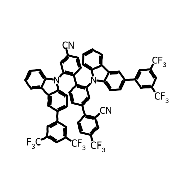 N#Cc1ccc(-c2ccc(-c3ccc(C(F)(F)F)cc3C#N)cc2-n2c3ccccc3c3cc(-c4cc(C(F)(F)F)cc(C(F)(F)F)c4)ccc32)c(-n2c3ccccc3c3cc(-c4cc(C(F)(F)F)cc(C(F)(F)F)c4)ccc32)c1